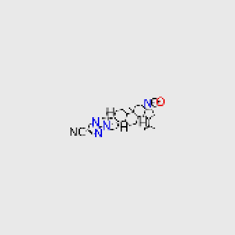 C=C(C)[C@@H]1CC[C@]2(N=C=O)CC[C@]3(C)C(CC[C@@H]4[C@@]5(C)CCN(c6ncc(C#N)cn6)C(C)(C)[C@@H]5CC[C@]43C)[C@@H]12